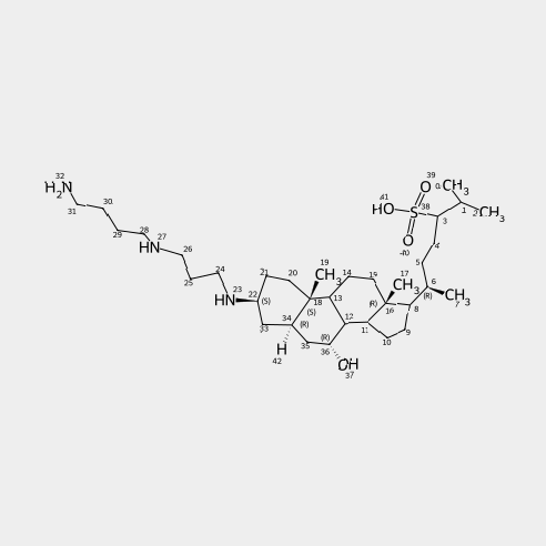 CC(C)C(CC[C@@H](C)C1CCC2C3C(CC[C@@]21C)[C@@]1(C)CC[C@H](NCCCNCCCCN)C[C@@H]1C[C@H]3O)S(=O)(=O)O